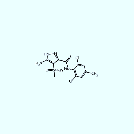 CS(=O)(=O)c1c(C(=S)Nc2c(Cl)cc(C(F)(F)F)cc2Cl)n[nH]c1N